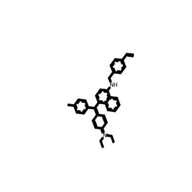 C=Cc1ccc(CNc2ccc(C(=C3C=CC(=[N+](CC)CC)C=C3)c3ccc(C)cc3)c3ccccc23)cc1